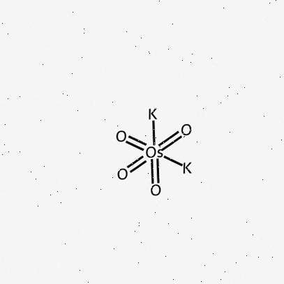 [O]=[Os](=[O])(=[O])(=[O])([K])[K]